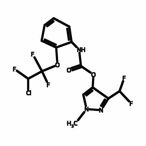 Cn1cc(OC(=O)Nc2ccccc2OC(F)(F)C(F)Cl)c(C(F)F)n1